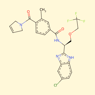 Cc1cc(C(=O)N[C@@H](COCC(F)(F)F)c2nc3cc(Cl)ccc3[nH]2)ccc1C(=O)N1CC=CC1